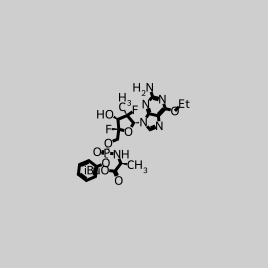 CCOc1nc(N)nc2c1ncn2[C@@H]1O[C@](F)(COP(=O)(N[C@@H](C)C(=O)OCC(C)C)Oc2ccccc2)[C@@H](O)[C@@]1(C)F